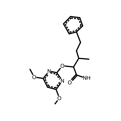 COc1cc(OC)nc(OC(C([NH])=O)C(C)CCc2ccccc2)n1